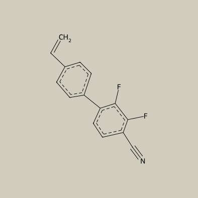 C=Cc1ccc(-c2ccc(C#N)c(F)c2F)cc1